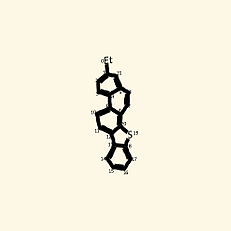 CCc1ccc2c(ccc3c2ccc2c4ccccc4sc23)c1